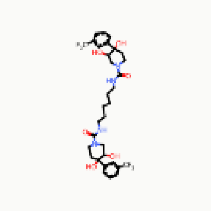 O=C(NCCCCCCNC(=O)N1CCC(O)(c2cccc(C(F)(F)F)c2)C(O)C1)N1CCC(O)(c2cccc(C(F)(F)F)c2)C(O)C1